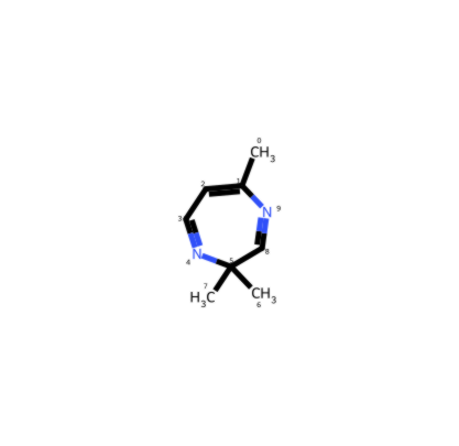 CC1=CC=NC(C)(C)C=N1